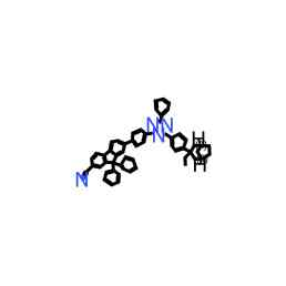 CCC1(c2ccc(-c3nc(-c4ccccc4)nc(-c4ccc(-c5ccc6c(c5)C(c5ccccc5)(c5ccccc5)c5cc(C#N)ccc5-6)cc4)n3)cc2)C[C@@H]2CC[C@@H](C2)C1